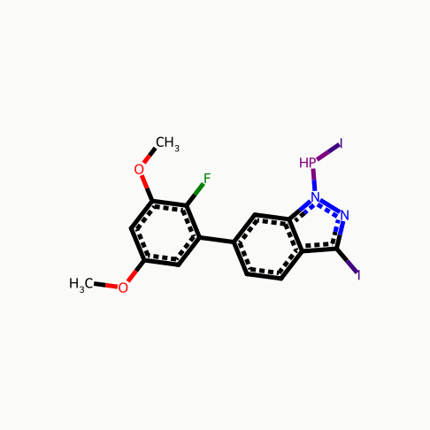 COc1cc(OC)c(F)c(-c2ccc3c(I)nn(PI)c3c2)c1